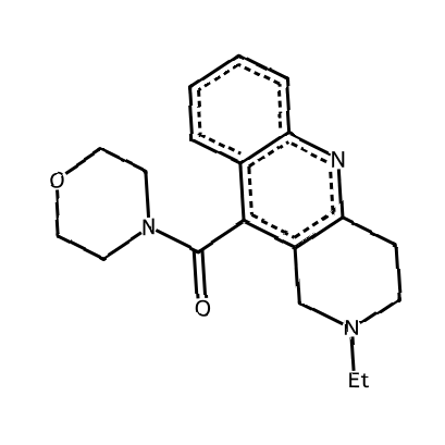 CCN1CCc2nc3ccccc3c(C(=O)N3CCOCC3)c2C1